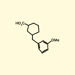 COc1cccc(CC2CCCC(C(=O)O)C2)c1